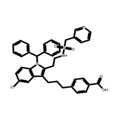 O=C(O)c1ccc(CCCc2c(CCNS(=O)(=O)Cc3cccnc3)n(C(c3ccccc3)c3ccccc3)c3ccc(Cl)cc23)cc1